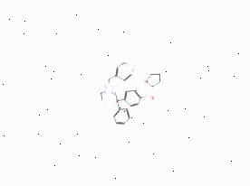 COc1ccc(C2(c3ccccc3)CN(Cc3ccncc3)C(=O)CO2)cc1OC1CCCC1